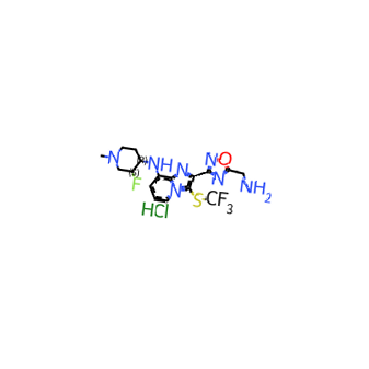 CN1CC[C@@H](Nc2cccn3c(SC(F)(F)F)c(-c4noc(CN)n4)nc23)[C@@H](F)C1.Cl